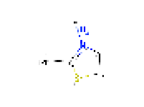 CC(C)c1scc[n+]1N